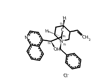 C=CC1C[N@+]2(Cc3ccccc3)CC[C@H]1C[C@@H]2[C@@H](O)c1ccnc2ccccc12.[Cl-]